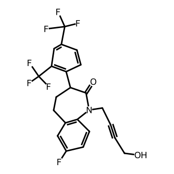 O=C1C(c2ccc(C(F)(F)F)cc2C(F)(F)F)CCc2cc(F)ccc2N1CC#CCO